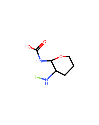 O=C(O)NC1OCCCC1NF